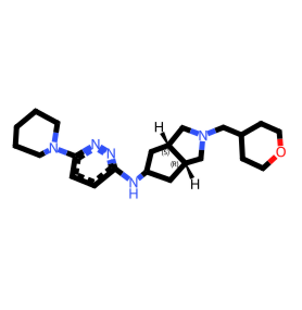 c1cc(N2CCCCC2)nnc1NC1C[C@@H]2CN(CC3CCOCC3)C[C@@H]2C1